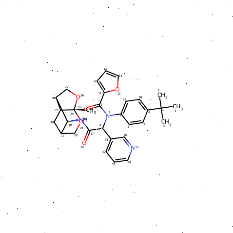 CC(C)(C)c1ccc(N(C(=O)c2ccco2)C(C(=O)N[C@H]2C3CO[C@@]4(C)OCC2C4C3)c2cccnc2)cc1